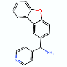 NC(c1ccncc1)c1ccc2oc3ccccc3c2c1